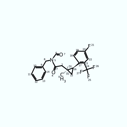 C[C@@]1(CC(=O)N(C=O)Cc2ccccc2)C[C@@H]1c1ccc(F)cc1C(F)(F)F